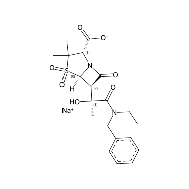 CCN(Cc1ccccc1)C(=O)[C@@](C)(O)[C@@H]1C(=O)N2[C@@H](C(=O)[O-])C(C)(C)S(=O)(=O)[C@H]12.[Na+]